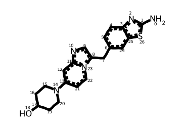 Nc1nc2ccc(Cc3cnc4cc(N5CCC(O)CC5)ccn34)cc2s1